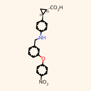 O=C(O)[C@H]1C[C@@H]1c1ccc(NCc2cccc(Oc3ccc([N+](=O)[O-])cc3)c2)cc1